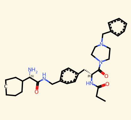 CCC(=O)N[C@H](Cc1ccc(CNC(=O)[C@@H](N)C2CCCCCC2)cc1)C(=O)N1CCN(Cc2ccccc2)CC1